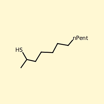 CCCCCCCCCCC(C)S